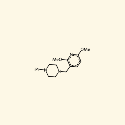 COc1ccc(CN2CCN(C(C)C)CC2)c(OC)n1